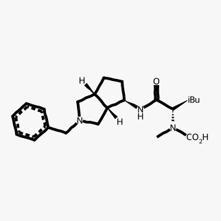 CC[C@H](C)[C@@H](C(=O)N[C@@H]1CC[C@H]2CN(Cc3ccccc3)C[C@H]21)N(C)C(=O)O